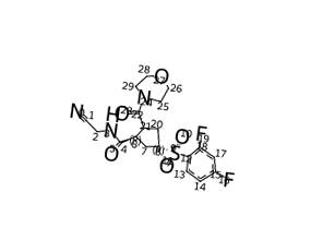 N#CCNC(=O)[C@@H]1C[C@@H](S(=O)(=O)c2ccc(F)cc2F)CC1C(=O)N1CCOCC1